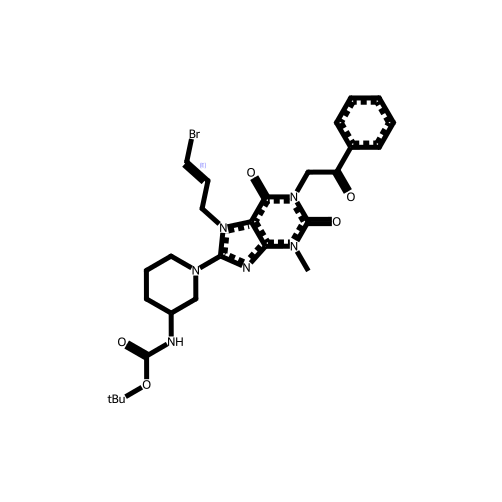 Cn1c(=O)n(CC(=O)c2ccccc2)c(=O)c2c1nc(N1CCCC(NC(=O)OC(C)(C)C)C1)n2C/C=C/Br